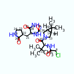 CC(C)(C)[C@H](NC(=O)CCl)C(=O)N1C[C@H]2[C@@H]([C@H]1C(=O)N[C@@H](C[C@@H]1CCNC1=O)C(N)=O)C2(C)C